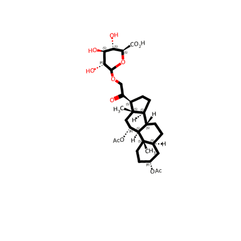 CC(=O)O[C@@H]1CC[C@@]2(C)[C@@H](CC[C@@H]3[C@@H]2[C@H](OC(C)=O)C[C@]2(C)[C@@H](C(=O)COC4O[C@H](C(=O)O)[C@@H](O)[C@H](O)[C@H]4O)CC[C@@H]32)C1